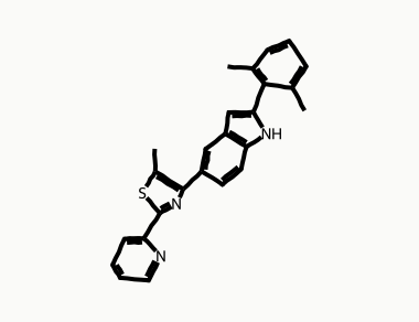 Cc1cccc(C)c1-c1cc2cc(-c3nc(-c4ccccn4)sc3C)ccc2[nH]1